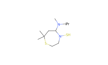 CC(C)N(C)C1CC(C)(C)SCCN1S